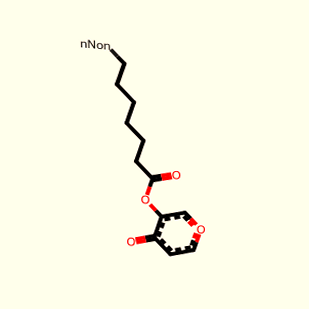 CCCCCCCCCCCCCCCC(=O)Oc1coccc1=O